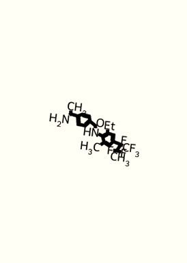 CCc1cc(C(F)(C(C)(F)F)C(F)(F)F)cc(C)c1NC(=O)c1ccc(C(C)N)cc1